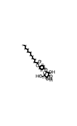 CCCCCCCCCCCC(=O)Oc1ccc(O[C@@H]2O[C@H](CO)[C@@H](O)[C@H](O)[C@H]2O)cc1